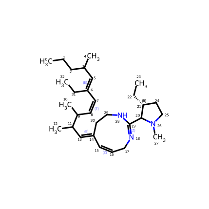 CCCC(C)/C=C(/C=C\C(C)C(C)/C=C1/C=C\C/N=C(/C2[C@H](CC)CCN2C)NCC1)CC